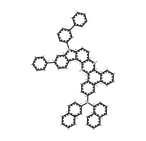 c1ccc(-c2cccc(-n3c4cc(-c5ccccc5)ccc4c4c5nc6c7ccc(N(c8ccc9ccccc9c8)c8cccc9ccccc89)cc7c7ccccc7c6nc5ccc43)c2)cc1